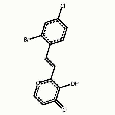 O=c1ccoc(/C=C/c2ccc(Cl)cc2Br)c1O